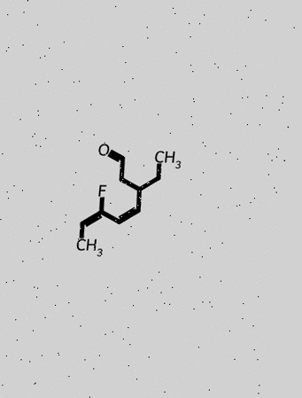 C/C=C(F)\C=C/C(CC)CC=O